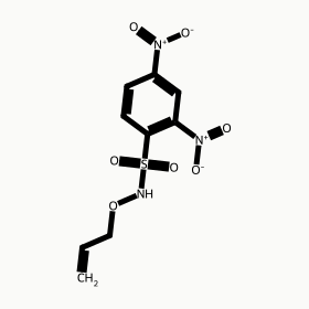 C=CCONS(=O)(=O)c1ccc([N+](=O)[O-])cc1[N+](=O)[O-]